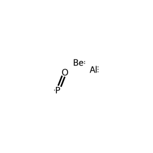 O=[P].[Al].[Be]